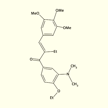 CCOc1ccc(C(=O)/C(=C/c2cc(OC)c(OC)c(OC)c2)CC)cc1N(C)C